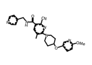 COc1ccc(OC2CCN(c3nc(C#N)c(C(=O)NCc4ccncc4)cc3C)CC2)cn1